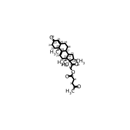 CC(=O)CCC(=O)OCC(=O)[C@@]1(O)[C@H](C)CC2C3CCC4=CC(=O)CC[C@]4(C)C3=CC[C@@]21C